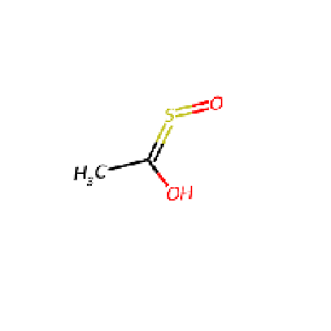 CC(O)=S=O